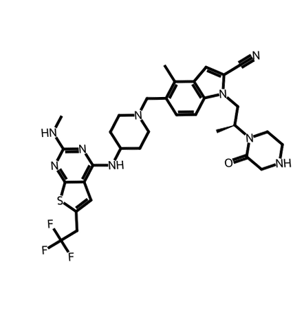 CNc1nc(NC2CCN(Cc3ccc4c(cc(C#N)n4C[C@H](C)N4CCNCC4=O)c3C)CC2)c2cc(CC(F)(F)F)sc2n1